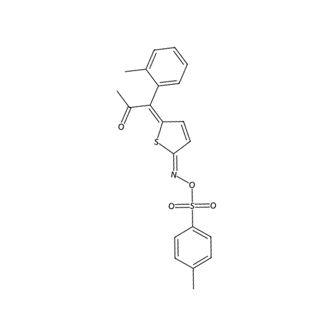 CC(=O)C(=C1C=CC(=NOS(=O)(=O)c2ccc(C)cc2)S1)c1ccccc1C